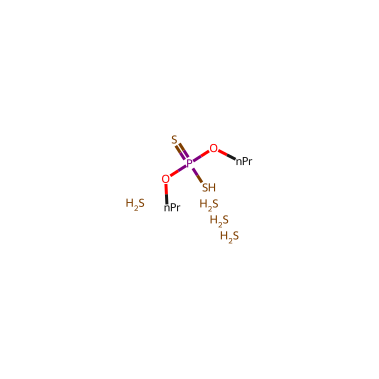 CCCOP(=S)(S)OCCC.S.S.S.S